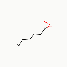 CCCCCCCCC1OO1